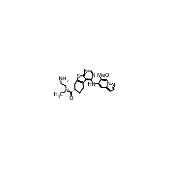 COc1cn2nccc2cc1Nc1ncnc2sc3c(c12)CC[C@H](C(=O)N(C)CCN)C3